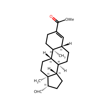 COC(=O)C1=C[C@@H]2CC[C@@H]3[C@H](CC[C@]4(C)[C@@H](C=O)CC[C@@H]34)[C@@]2(C)CC1